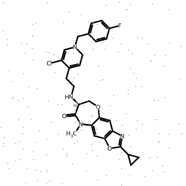 CN1C(=O)[C@@H](NCCC2=CCN(Cc3ccc(F)cc3)C=C2Cl)COc2cc3nc(C4CC4)oc3cc21